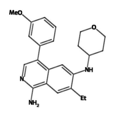 CCc1cc2c(N)ncc(-c3cccc(OC)c3)c2cc1NC1CCOCC1